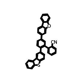 N#Cc1ccccc1-c1cc(-c2ccc3c(c2)oc2ccccc23)ccc1-c1ccc2sc3ccccc3c2c1